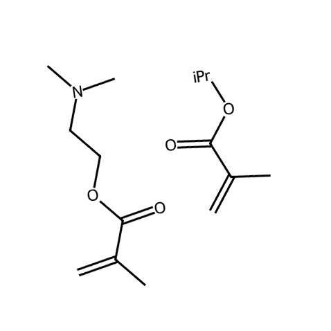 C=C(C)C(=O)OC(C)C.C=C(C)C(=O)OCCN(C)C